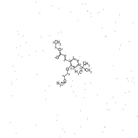 CCOC(=O)C=Cc1ccc(C(C)(C)C)cc1OCCOC